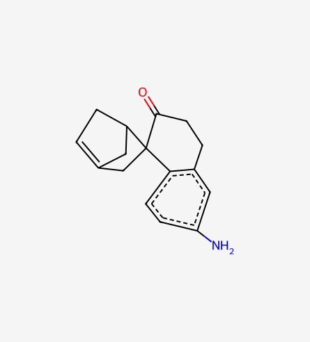 Nc1ccc2c(c1)CCC(=O)C21CC2=CCC1C2